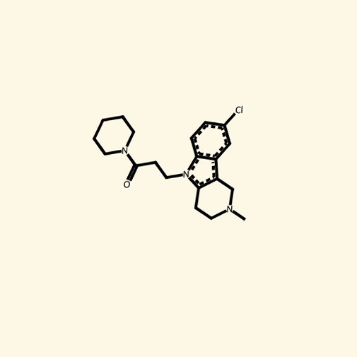 CN1CCc2c(c3cc(Cl)ccc3n2CCC(=O)N2CCCCC2)C1